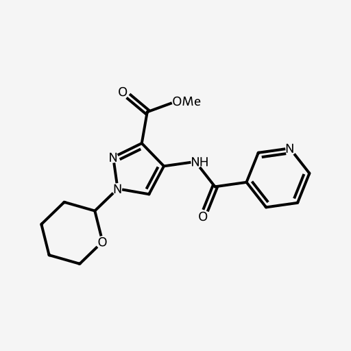 COC(=O)c1nn(C2CCCCO2)cc1NC(=O)c1cccnc1